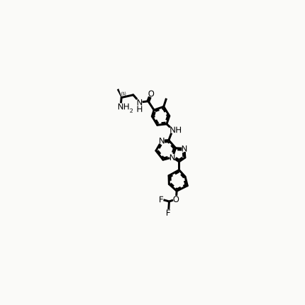 Cc1cc(Nc2nccn3c(-c4ccc(OC(F)F)cc4)cnc23)ccc1C(=O)NC[C@H](C)N